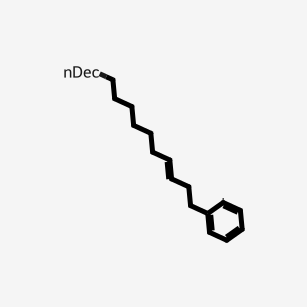 CCCCCCCCCCCCCCCCC=CCCc1[c]cccc1